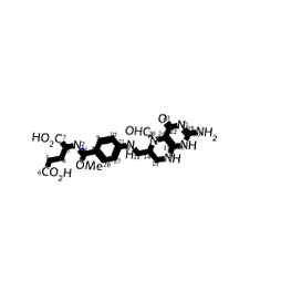 CO/C(=N\C(CCC(=O)O)C(=O)O)c1ccc(NCC2CNc3[nH]c(N)nc(=O)c3N2C=O)cc1